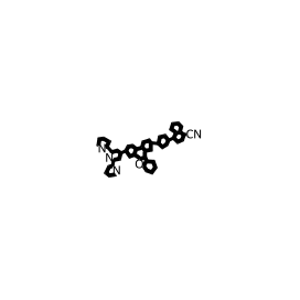 N#Cc1ccc(-c2ccc(-c3ccc4c5ccc(-c6cc(-c7ccccn7)nc(-c7ccccn7)c6)cc5c5oc6ccccc6c5c4c3)cc2)c2ccccc12